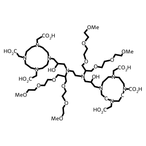 COCCOCCOCC(COCCOCCOC)N(CCN(CC(O)CN1CCN(CC(=O)O)CCN(C(=O)O)CCN(CC(=O)O)CC1)C(COCCOCCOC)COCCOCCOC)CC(O)CN1CCN(CC(=O)O)CCN(CC(=O)O)CCN(CC(=O)O)CC1